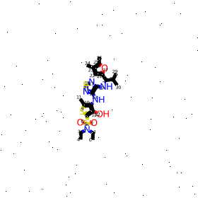 CCN(CC)S(=O)(=O)c1sc(C)c(Nc2nsnc2N[C@@H](c2cc(C)c(C)o2)C(C)C)c1O